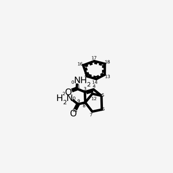 NC(=O)C1=CC2CCC1(C(N)=O)C2.c1ccccc1